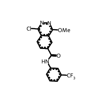 COc1nnc(Cl)c2ccc(C(=O)Nc3cccc(C(F)(F)F)c3)cc12